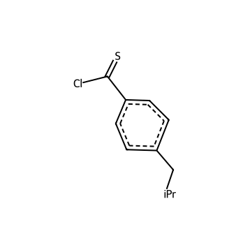 CC(C)Cc1ccc(C(=S)Cl)cc1